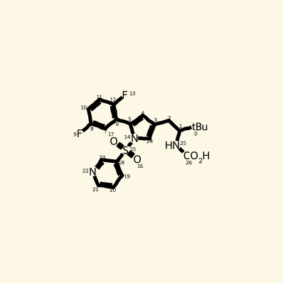 CC(C)(C)C(Cc1cc(-c2cc(F)ccc2F)n(S(=O)(=O)c2cccnc2)c1)NC(=O)O